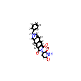 O=C1CCC(N2C(=O)c3cc4c(cc3C2=O)CC2CN(Cc3ccccc3)CC2C4)C(=O)N1